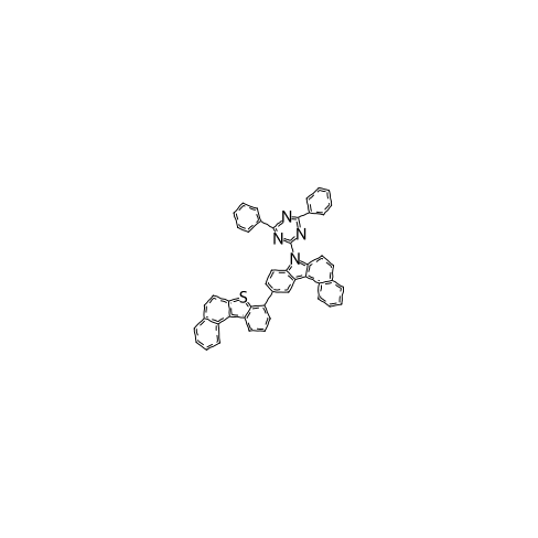 c1ccc(-c2nc(-c3ccccc3)nc(-n3c4ccc(-c5cccc6c5sc5ccc7ccccc7c56)cc4c4c5ccccc5ccc43)n2)cc1